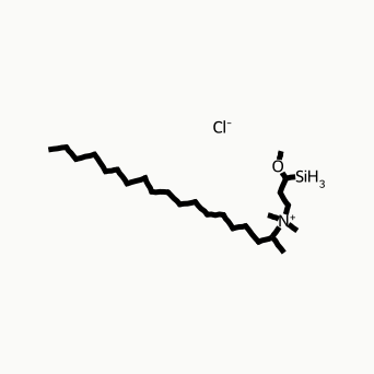 CCCCCCCCCCCCCCCCCC(C)[N+](C)(C)CCC([SiH3])OC.[Cl-]